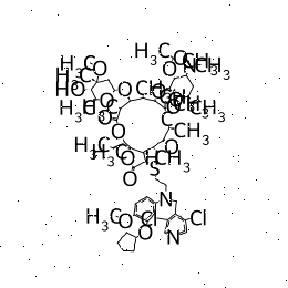 CC[C@H]1OC(=O)[C@H](C)[C@@H](O[C@H]2C[C@@](C)(OC)[C@@H](O)[C@H](C)O2)[C@H](C)[C@@H](O[C@@H]2O[C@H](C)C[C@H](N(C)C)[C@H]2OC(C)=O)[C@](C)(OC)C[C@@H](C)C(=O)[C@H](C)[C@H]2[C@H](SCCN(Cc3c(Cl)cncc3Cl)c3ccc(OC)c(OC4CCCC4)c3)C(=O)O[C@@]21C